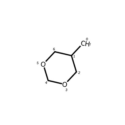 [CH]C1COCOC1